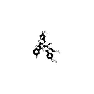 Cc1ccc(C(=O)N(CCN)[C@@H](c2nc3c(oc4ccc(F)cc43)c(=O)n2Cc2cc(C)cs2)C(C)C)cc1